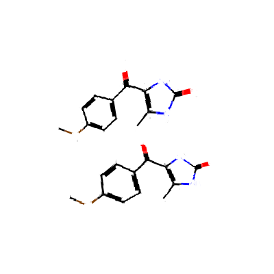 CSc1ccc(C(=O)c2[nH]c(=O)[nH]c2C)cc1.CSc1ccc(C(=O)c2[nH]c(=O)[nH]c2C)cc1